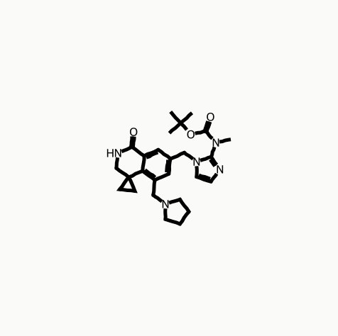 CN(C(=O)OC(C)(C)C)c1nccn1Cc1cc(CN2CCCC2)c2c(c1)C(=O)NCC21CC1